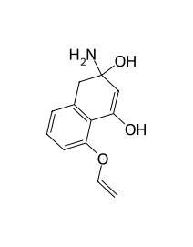 C=COc1cccc2c1C(O)=CC(N)(O)C2